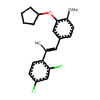 COc1ccc(/C=C(\C#N)c2ccc(Cl)cc2Cl)cc1OC1CCCC1